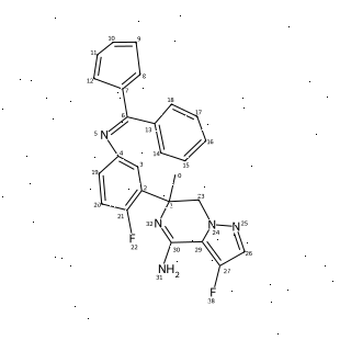 CC1(c2cc(N=C(c3ccccc3)c3ccccc3)ccc2F)Cn2ncc(F)c2C(N)=N1